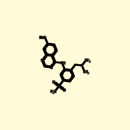 CNc1ccc2c(Nc3cc(S(N)(=O)=O)ccc3CN(C)C)ncnc2c1